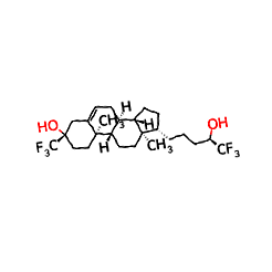 C[C@]12CC[C@H]3[C@@H](CC=C4C[C@](O)(C(F)(F)F)CC[C@@]43C)[C@@H]1CC[C@@H]2CCC[C@@H](O)C(F)(F)F